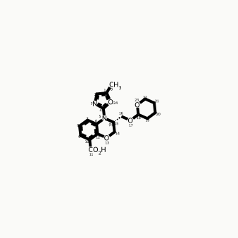 Cc1cnc(N2c3cccc(C(=O)O)c3OC[C@H]2COC2CCCCO2)o1